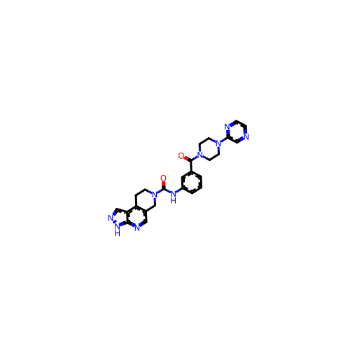 O=C(Nc1cccc(C(=O)N2CCN(c3cnccn3)CC2)c1)N1CCc2c(cnc3[nH]ncc23)C1